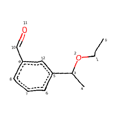 CCOC(C)c1cccc(C=O)c1